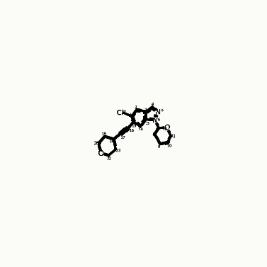 Clc1cc2cnn(C3CCCCO3)c2cc1C#CC1CCOCC1